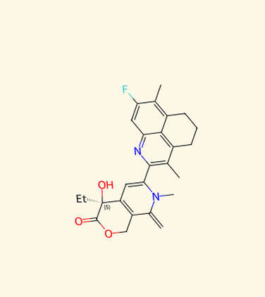 C=C1C2=C(C=C(c3nc4cc(F)c(C)c5c4c(c3C)CCC5)N1C)[C@@](O)(CC)C(=O)OC2